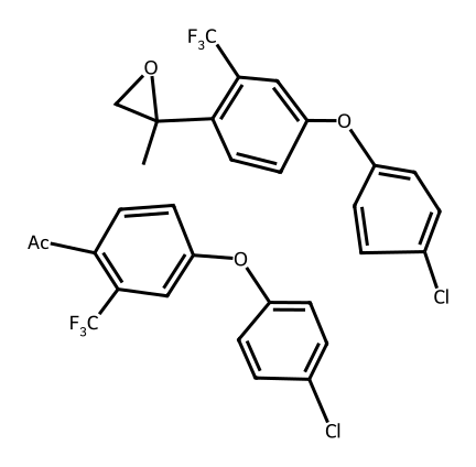 CC(=O)c1ccc(Oc2ccc(Cl)cc2)cc1C(F)(F)F.CC1(c2ccc(Oc3ccc(Cl)cc3)cc2C(F)(F)F)CO1